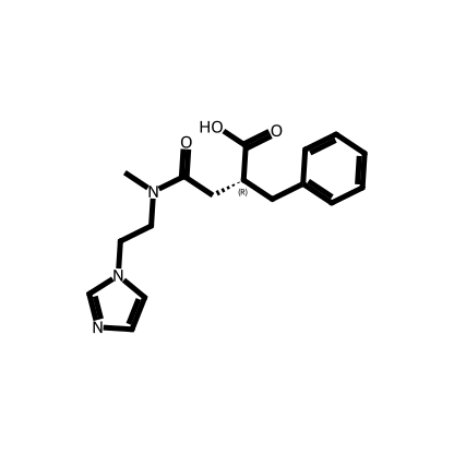 CN(CCn1ccnc1)C(=O)C[C@@H](Cc1ccccc1)C(=O)O